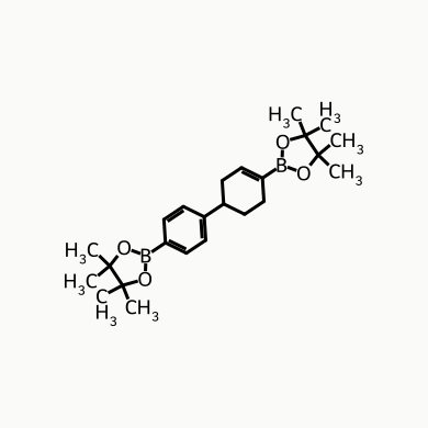 CC1(C)OB(C2=CCC(c3ccc(B4OC(C)(C)C(C)(C)O4)cc3)CC2)OC1(C)C